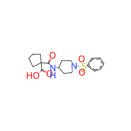 O=C(O)C1(C(=O)NC2CCN(S(=O)(=O)c3ccccc3)CC2)CCCC1